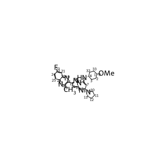 CO[C@H]1CC[C@H](Nc2cc(N3CCCC3)nc3cc(-c4nc5cc(F)ccc5nc4C)nn23)CC1